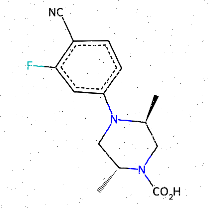 C[C@@H]1CN(c2ccc(C#N)c(F)c2)[C@@H](C)CN1C(=O)O